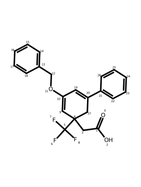 O=C(O)CC1(C(F)(F)F)C=C(OCc2ccccc2)C=C(c2ccccc2)C1